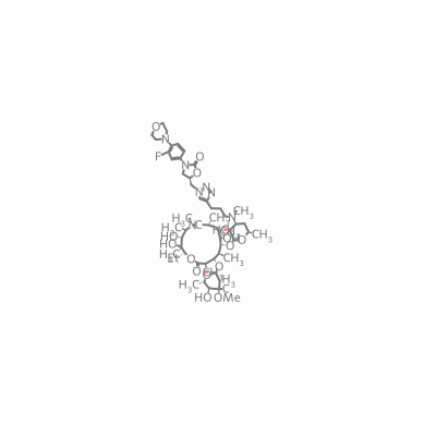 CC[C@H]1OC(=O)[C@H](C)[C@@H](O[C@H]2C[C@@](C)(OC)[C@@H](O)[C@H](C)O2)[C@H](C)[C@@H](O[C@@H]2O[C@H](C)C[C@H](N(C)CCCc3cn(C[C@H]4CN(c5ccc(N6CCOCC6)c(F)c5)C(=O)O4)nn3)[C@H]2O)[C@](C)(O)C[C@@H](C)CN(C)[C@H](C)[C@@H](O)[C@]1(C)O